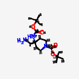 CC(C)(C)OC(=O)NC1(CN)CCN(C(=O)OC(C)(C)C)CC1